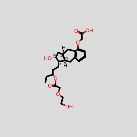 CCC(CC[C@@H]1[C@H]2Cc3cccc(OCC(=O)O)c3C[C@H]2C[C@H]1O)OC(=O)COCCO